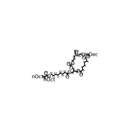 CCCCCCCCCCOC(=O)CCCCCC(=O)OCC(COC(=O)CCCCCCCOC(=O)C(CCCCCCCC)CCCCCCCC)COC(=O)OCCCN(CC)CCO